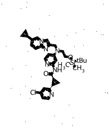 CC(C)(C)[Si](C)(C)OCCN(Cc1cn2cc(C3CC3)ccc2n1)c1ccnc(NC(=O)[C@H]2C[C@@H]2c2cc(Cl)ccn2)c1